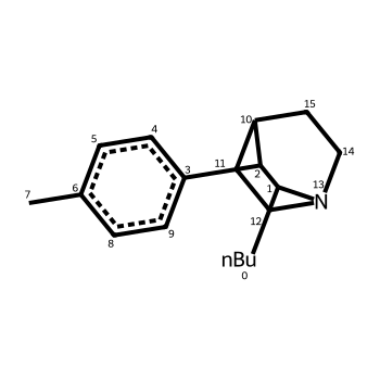 CCCCC1C(c2ccc(C)cc2)C2CCN1CC2